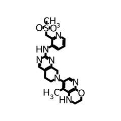 Cc1c(N2CCc3cnc(Nc4cccnc4CS(C)(=O)=O)nc3C2)cnc2c1NCCO2